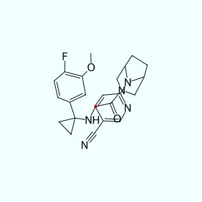 COc1cc(C2(NCC(=O)N3CC4CCC(C3)N4c3ccc(C#N)cn3)CC2)ccc1F